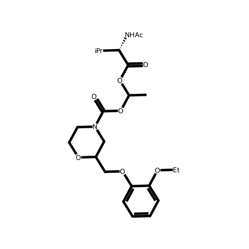 CCOc1ccccc1OCC1CN(C(=O)OC(C)OC(=O)[C@@H](NC(C)=O)C(C)C)CCO1